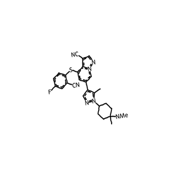 CNC1(C)CCC(n2ncc(-c3cc(Sc4ccc(F)cc4C#N)c4c(C#N)cnn4c3)c2C)CC1